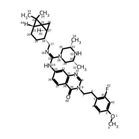 COc1ccc(CCn2cnc3cc(N/C(=N/C[C@@H]4CC[C@@H]5C(C)(C)C56C[C@@H]46)N4C[C@@H](C)N[C@@H](C)C4)ccc3c2=O)c(F)c1